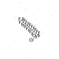 FC(F)(F)C(F)(F)C(F)(F)C(F)(F)C(F)(F)C(F)(F)C(F)(F)C(F)(F)C(F)(OCC1CO1)C(F)(F)F